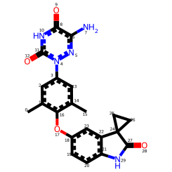 Cc1cc(-n2nc(N)c(=O)[nH]c2=O)cc(C)c1Oc1ccc2c(c1)C1(CC1)C(=O)N2